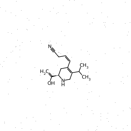 C=C(O)[C@H]1CC(/C=C\CC#N)=C(C(C)C)CN1